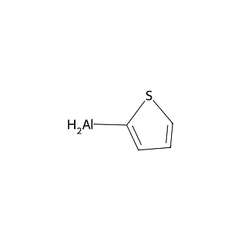 [AlH2][c]1cccs1